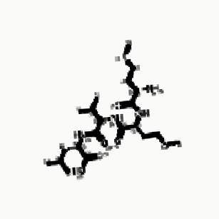 CSCC[C@H](NC(=O)[C@@H](N)CCSC)C(=O)N[C@H](C(=O)N[C@@H](CC(C)C)C(=O)O)C(C)C